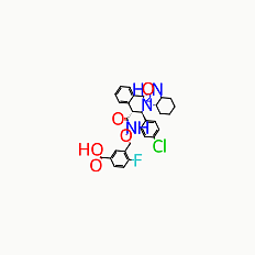 N[C@H]1CCCC[C@@H]1N1C(=O)c2ccccc2[C@@H](C(=O)NOCc2cc(C(=O)O)ccc2F)[C@@H]1c1ccc(Cl)cc1